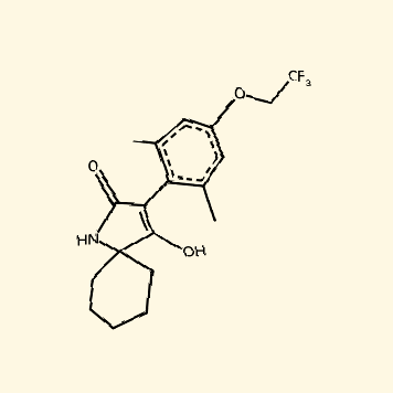 Cc1cc(OCC(F)(F)F)cc(C)c1C1=C(O)C2(CCCCC2)NC1=O